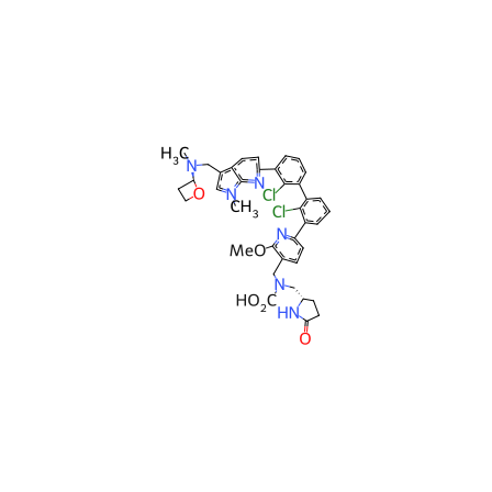 COc1nc(-c2cccc(-c3cccc(-c4ccc5c(CN(C)[C@@H]6CCO6)cn(C)c5n4)c3Cl)c2Cl)ccc1CN(C[C@@H]1CCC(=O)N1)C(=O)O